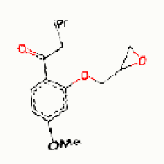 COc1ccc(C(=O)CC(C)C)c(OCC2CO2)c1